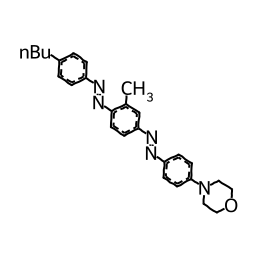 CCCCc1ccc(/N=N/c2ccc(/N=N/c3ccc(N4CCOCC4)cc3)cc2C)cc1